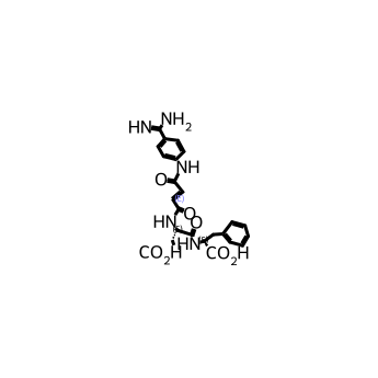 N=C(N)c1ccc(NC(=O)/C=C/C(=O)N[C@@H](CC(=O)O)C(=O)N[C@@H](Cc2ccccc2)C(=O)O)cc1